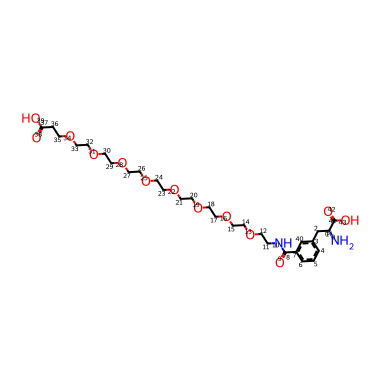 N[C@@H](Cc1cccc(C(=O)NCCOCCOCCOCCOCCOCCOCCOCCOCCC(=O)O)c1)C(=O)O